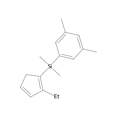 CCC1=C([Si](C)(C)c2cc(C)cc(C)c2)CC=C1